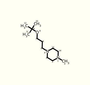 CN1CCN(CCCOC(C)(C)C)CC1